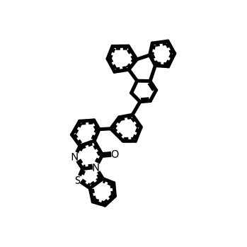 O=c1c2c(-c3cccc(C4=CC=C5c6ccccc6-c6ccccc6C5C4)c3)cccc2nc2sc3ccccc3n12